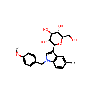 CCc1ccc2c(c1)c([C@@H]1O[C@H](CO)[C@@H](O)[C@H](O)[C@H]1O)cn2Cc1ccc(OC(C)C)cc1